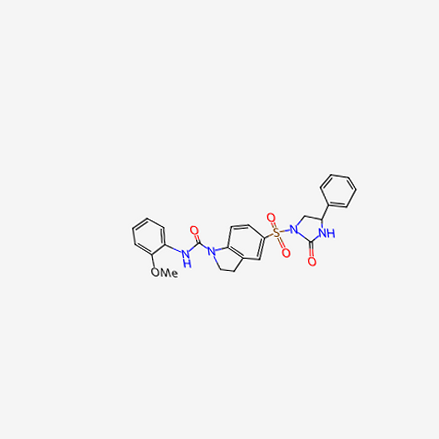 COc1ccccc1NC(=O)N1CCc2cc(S(=O)(=O)N3CC(c4ccccc4)NC3=O)ccc21